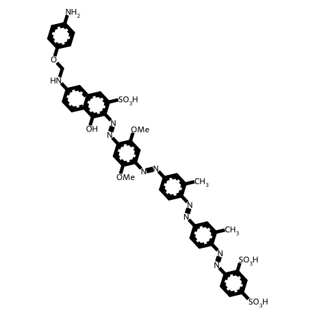 COc1cc(N=Nc2c(S(=O)(=O)O)cc3cc(NCOc4ccc(N)cc4)ccc3c2O)c(OC)cc1N=Nc1ccc(N=Nc2ccc(N=Nc3ccc(S(=O)(=O)O)cc3S(=O)(=O)O)c(C)c2)c(C)c1